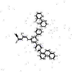 C#C/C(F)=C\C(F)=C/Cc1nc(C2=CC[C@@H](C3CC=NC(c4ncccc4I)=C3C)C=C2)nc(C(/C=C\C(=C)c2ccnc3c2ccc2cccnc23)=C/C)n1